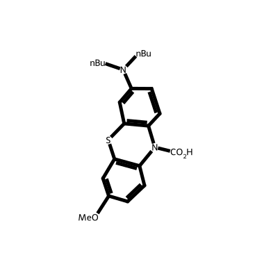 CCCCN(CCCC)c1ccc2c(c1)Sc1cc(OC)ccc1N2C(=O)O